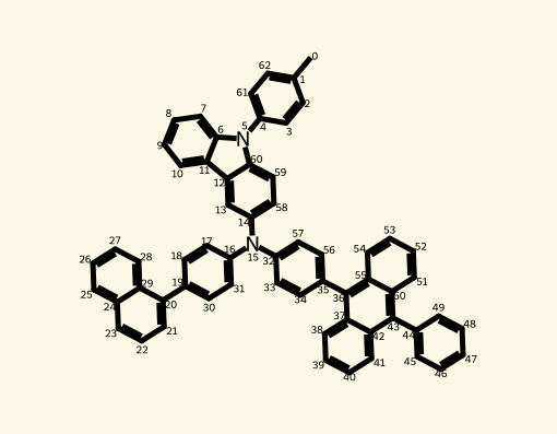 Cc1ccc(-n2c3ccccc3c3cc(N(c4ccc(-c5cccc6ccccc56)cc4)c4ccc(-c5c6ccccc6c(-c6ccccc6)c6ccccc56)cc4)ccc32)cc1